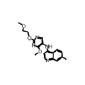 COCCOc1ncc(Nc2ccnc3cc(C)ccc23)c(OC)n1